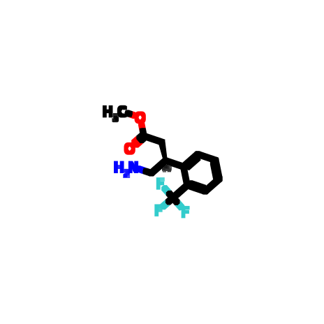 COC(=O)C[C@H](CN)c1ccccc1C(F)(F)F